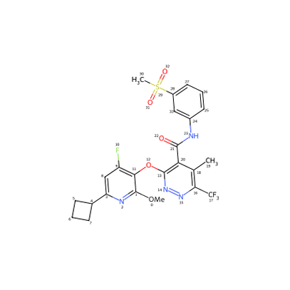 COc1nc(C2CCC2)cc(F)c1Oc1nnc(C(F)(F)F)c(C)c1C(=O)Nc1cccc(S(C)(=O)=O)c1